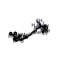 C=C(/C=C\C=C/C)[C@H](NC(=O)[C@@H]1CC[C@@H]2CC[C@H](CO)[C@H](NC(=O)[C@H](CC)NC)C(=O)N21)C(=O)NCCCOCCOCCOCCCn1cc(CCC(=O)NC[C@H]2CC[C@H]3CC[C@@H](C(=O)NC(c4ccccc4)c4ccccc4)N3C(=O)[C@H]2NC(=O)[C@H](CC)NC)nn1